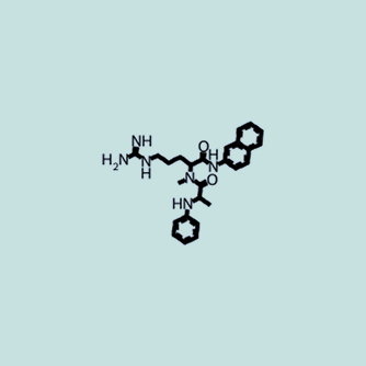 CC(Nc1ccccc1)C(=O)N(C)C(CCCNC(=N)N)C(=O)Nc1ccc2ccccc2c1